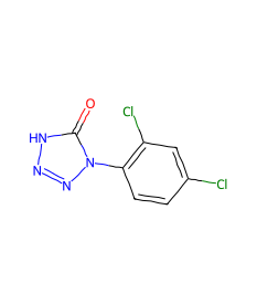 O=c1[nH]nnn1-c1ccc(Cl)cc1Cl